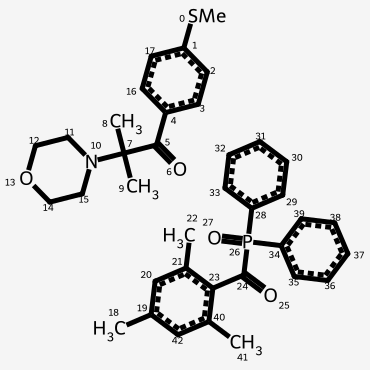 CSc1ccc(C(=O)C(C)(C)N2CCOCC2)cc1.Cc1cc(C)c(C(=O)P(=O)(c2ccccc2)c2ccccc2)c(C)c1